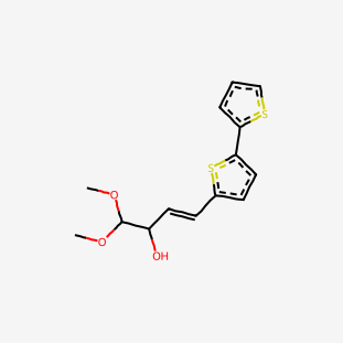 COC(OC)C(O)C=Cc1ccc(-c2cccs2)s1